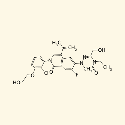 C=C(C)c1cn(-c2cccc(OCCO)c2Cl)c(=O)c2cc(F)c(N(C)/N=C(/CO)N(C=O)CC)cc12